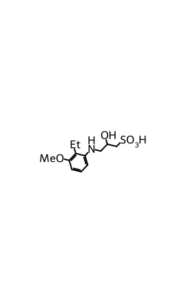 CCc1c(NCC(O)CS(=O)(=O)O)cccc1OC